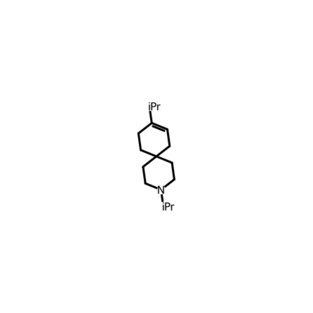 CC(C)C1=CCC2(CC1)CCN(C(C)C)CC2